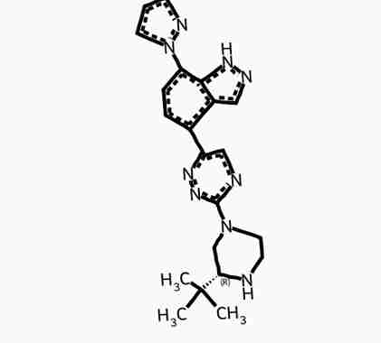 CC(C)(C)[C@@H]1CN(c2ncc(-c3ccc(-n4cccn4)c4[nH]ncc34)nn2)CCN1